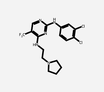 FC(F)(F)c1cnc(Nc2ccc(Cl)c(Cl)c2)nc1NCCN1CCCC1